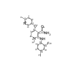 Cc1ccc(OC2=CCN(C)C(Nc3ccc(I)cc3F)=C2C(N)=O)cn1